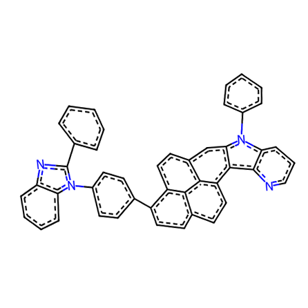 c1ccc(-c2nc3ccccc3n2-c2ccc(-c3ccc4ccc5c6c(ccc3c46)cc3c5c4ncccc4n3-c3ccccc3)cc2)cc1